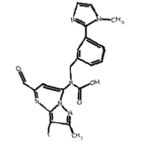 Cc1nn2c(N(Cc3cccc(-c4nccn4C)c3)C(=O)O)cc(C=O)nc2c1I